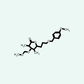 COCOC1C(C)C(=O)OC(CCCOCc2ccc(OC)cc2)C1C